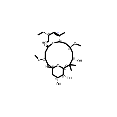 CC[C@H](/C=C(/C)[C@@H]1C[C@@H](OC)C[C@H](O)C(C)(C)[C@@]2(O)O[C@@H](C[C@@H](OC)CC(=O)O1)C[C@@H](O)[C@H]2O)CO